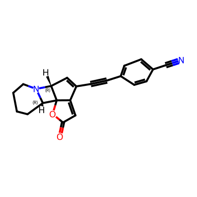 N#Cc1ccc(C#CC2=C[C@H]3N4CCCC[C@@H]4C34OC(=O)C=C24)cc1